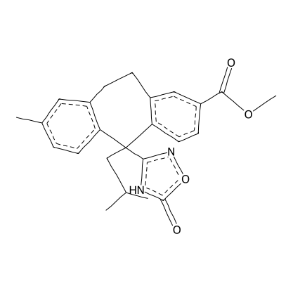 COC(=O)c1ccc2c(c1)CCc1cc(C)ccc1C2(CC(C)C)c1noc(=O)[nH]1